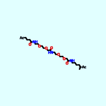 CC(=O)CCCC(=O)NCCOCCOCC(=O)NCCOCCOCC(=O)NCCCC[C@@H](C)C(C)=O